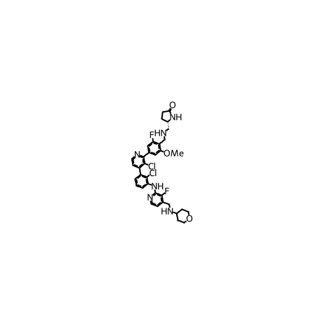 COc1cc(-c2nccc(-c3cccc(Nc4nccc(CNC5CCOCC5)c4F)c3Cl)c2Cl)cc(F)c1CNC[C@@H]1CCC(=O)N1